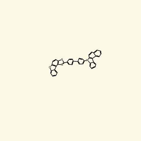 c1ccc2c(c1)ccc1c2c2ccccc2n1-c1ccc(-c2ccc(-c3nc4c(ccc5oc6ccccc6c54)s3)cc2)cc1